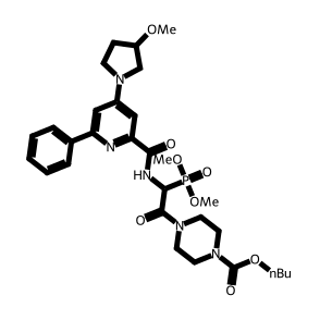 CCCCOC(=O)N1CCN(C(=O)C(NC(=O)c2cc(N3CCC(OC)C3)cc(-c3ccccc3)n2)P(=O)(OC)OC)CC1